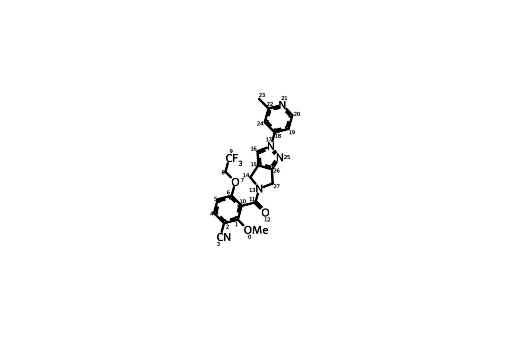 COc1c(C#N)ccc(OCC(F)(F)F)c1C(=O)N1Cc2cn(-c3ccnc(C)c3)nc2C1